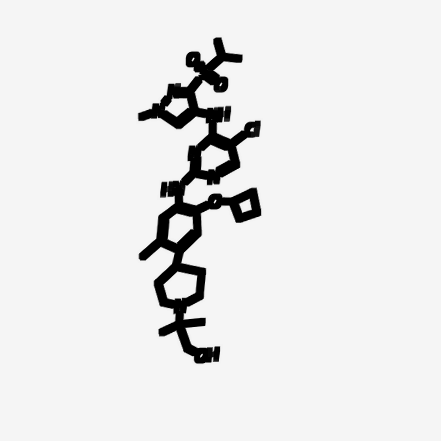 Cc1cc(Nc2ncc(Cl)c(Nc3cn(C)nc3S(=O)(=O)C(C)C)n2)c(OC2CCC2)cc1C1CCN(C(C)(C)CO)CC1